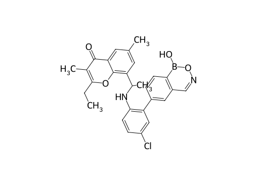 CCc1oc2c(C(C)Nc3ccc(Cl)cc3-c3ccc4c(c3)C=NOB4O)cc(C)cc2c(=O)c1C